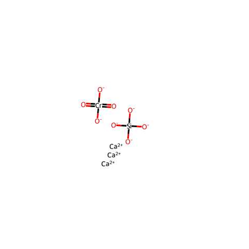 [Ca+2].[Ca+2].[Ca+2].[O-][Si]([O-])([O-])[O-].[O]=[Cr](=[O])([O-])[O-]